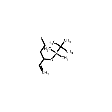 C=CC(CCI)O[Si](C)(C)C(C)(C)C